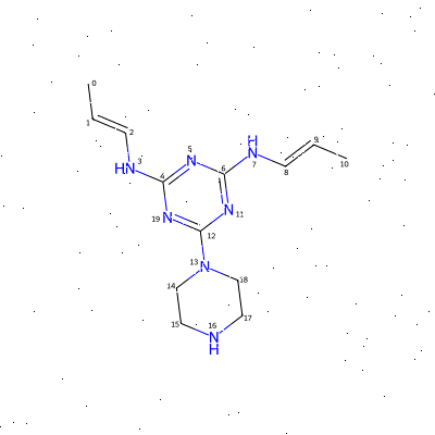 CC=CNc1nc(NC=CC)nc(N2CCNCC2)n1